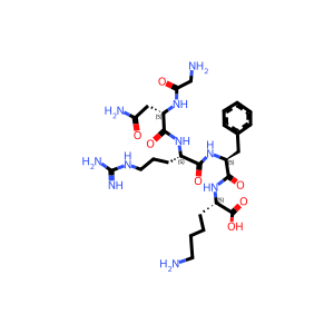 N=C(N)NCCC[C@H](NC(=O)[C@H](CC(N)=O)NC(=O)CN)C(=O)N[C@@H](Cc1ccccc1)C(=O)N[C@@H](CCCCN)C(=O)O